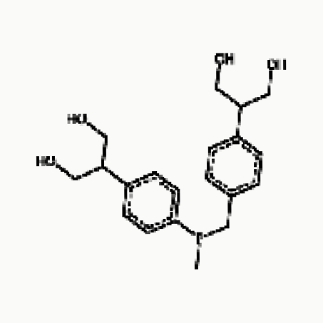 CP(Cc1ccc(C(CO)CO)cc1)c1ccc(C(CO)CO)cc1